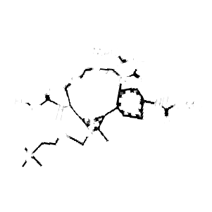 COC(=O)Nc1ccc2c(c1)N(C(=O)C(F)(F)F)[C@@H](C(=O)OC)CCCC[C@H](NC(=O)OC(C)(C)C)c1nc-2c(C)n1COCC[Si](C)(C)C